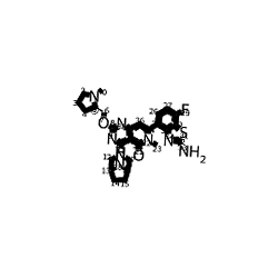 CN1CCC[C@H]1COc1nc(N2CC3CCC(C2)N3)c2c(=O)n(C)c(-c3ccc(F)c4sc(N)nc34)cc2n1